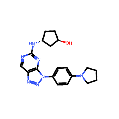 O[C@@H]1CC[C@@H](Nc2ncc3nnn(-c4ccc(N5CCCC5)cc4)c3n2)C1